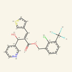 O=C(OCc1cccc(C(F)(F)F)c1Cl)C(=Cc1ccsc1)C(O)c1cccnc1